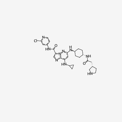 O=C(C[C@@H]1CCNC1)N[C@H]1CC[C@H](Nc2cc(NC3CC3)c3ncc(C(=O)Nc4ccnc(Cl)c4)n3n2)CC1